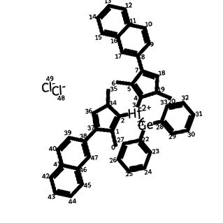 CC1=[C]([Hf+2]([C]2=C(C)C(c3ccc4ccccc4c3)=CC2C)=[Ge]([c]2ccccc2)[c]2ccccc2)C(C)C=C1c1ccc2ccccc2c1.[Cl-].[Cl-]